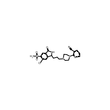 N#Cc1cccnc1N1CCN(CCCC2NC(=O)c3cc(S(N)(=O)=O)c(Cl)cc32)CC1